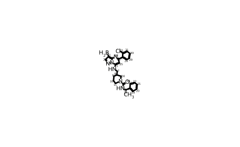 Bc1cnn2c(NCC3CCCN(C(=O)N[C@@H](C)c4ccccc4)C3)cc(-c3ccccc3Cl)nc12